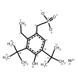 CCc1c(CP(=O)([O-])[O-])cc(C(C)(C)C)c(O)c1C(C)(C)C.[Ni+2]